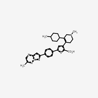 Cc1cnc2cc(-c3ccc(-c4cc(C5=C(C6CCC(C)CC6)CN(C)CC5)c(C(=O)O)s4)cc3)nn2n1